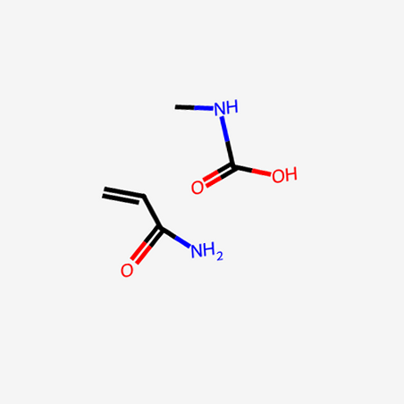 C=CC(N)=O.CNC(=O)O